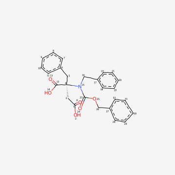 O=C(O)C[C@@](Cc1ccccc1)(C(=O)O)N(Cc1ccccc1)C(=O)OCc1ccccc1